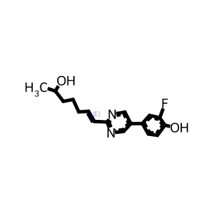 CC(O)CCC/C=C/c1ncc(-c2ccc(O)c(F)c2)cn1